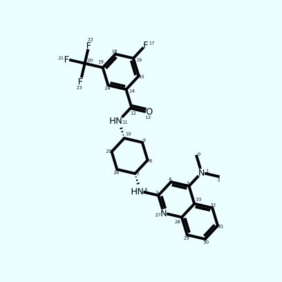 CN(C)c1cc(N[C@H]2CC[C@@H](NC(=O)c3cc(F)cc(C(F)(F)F)c3)CC2)nc2ccccc12